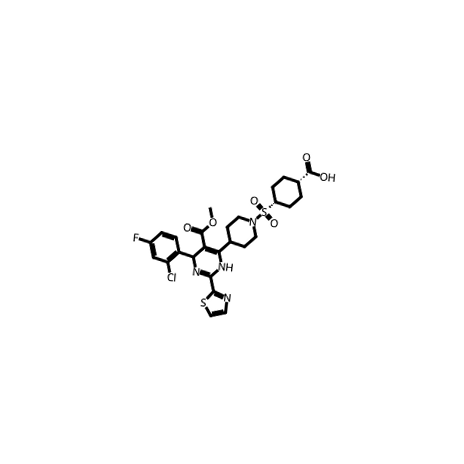 COC(=O)C1=C(C2CCN(S(=O)(=O)[C@H]3CC[C@@H](C(=O)O)CC3)CC2)NC(c2nccs2)=NC1c1ccc(F)cc1Cl